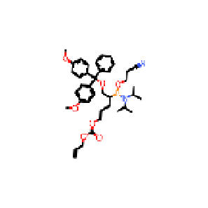 C=CCOC(=O)OCCC[C@@H](COC(c1ccccc1)(c1ccc(OC)cc1)c1ccc(OC)cc1)P(OCCC#N)N(C(C)C)C(C)C